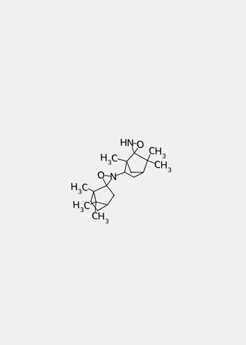 CC1(C)C2CCC1(C)C1(C2)ON1C1CC2CC1(C)C1(NO1)C2(C)C